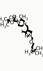 C[C@@H]1CN(Cc2cn(COCC[Si](C)(C)C)nc2I)CCN1C(=O)OC(C)(C)C